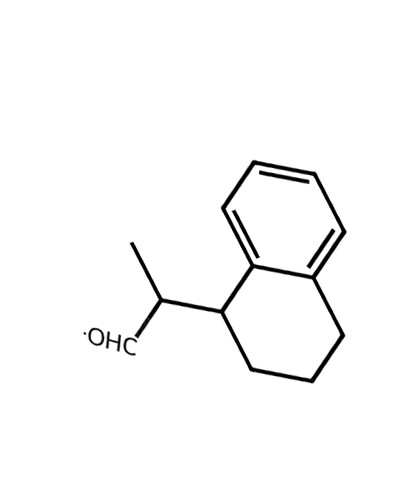 CC([C]=O)C1CCCc2ccccc21